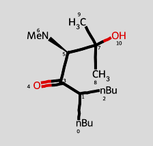 CCCCC(CCCC)C(=O)[C@@H](NC)C(C)(C)O